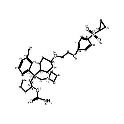 NC(=O)O[C@H]1CCC[C@@H]1[C@](CN1CCC1)(c1cccc(F)c1)C1CCC(OCCOc2ccc(S(=O)(=O)C3CC3)cc2)CC1